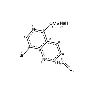 C=O.COc1ncc(Br)c2ncccc12.[NaH]